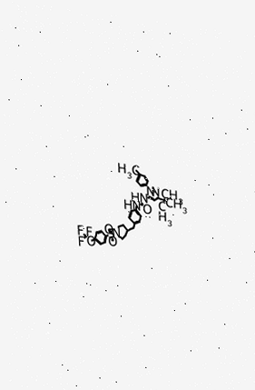 Cc1ccc(-n2nc(C(C)(C)C)cc2NC(=O)Nc2ccc(CC3CCN(S(=O)(=O)c4ccc(OC(F)(F)F)cc4)CC3)cc2)cc1